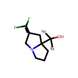 [2H]C([2H])(O)C12CCCN1CC(=C(F)F)C2